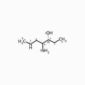 CC[C@@H](O)C(N)CNC